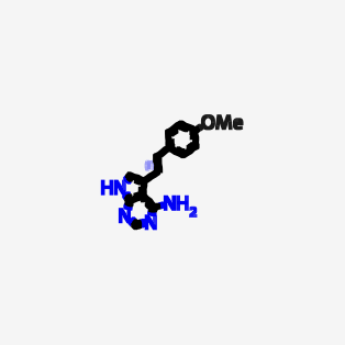 COc1ccc(/C=C/c2c[nH]c3ncnc(N)c23)cc1